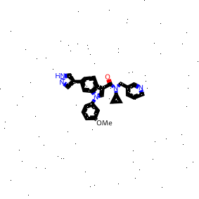 COc1cccc(-n2cc(C(=O)N(Cc3cccnc3)C3CC3)c3ccc(-c4cn[nH]c4)cc32)c1